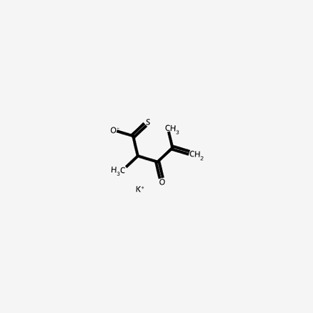 C=C(C)C(=O)C(C)C([O-])=S.[K+]